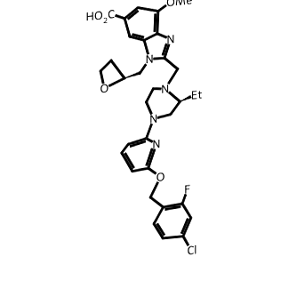 CC[C@H]1CN(c2cccc(OCc3ccc(Cl)cc3F)n2)CCN1Cc1nc2c(OC)cc(C(=O)O)cc2n1C[C@@H]1CCO1